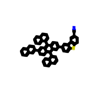 N#Cc1ccc2sc3ccc(-c4ccc5c(-c6cccc7ccccc67)c6cc(-c7ccc8ccccc8c7)ccc6c(-c6cccc7ccccc67)c5c4)cc3c2c1